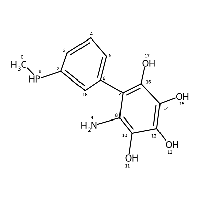 CPc1cccc(-c2c(N)c(O)c(O)c(O)c2O)c1